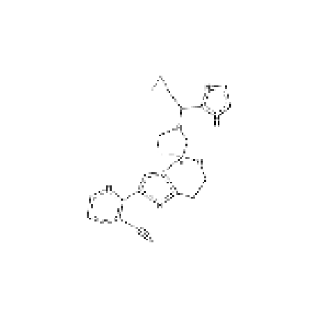 N#Cc1cccnc1-c1cc2n(n1)CCO[C@@]21CCN(C(c2ncc[nH]2)C2CC2)C1